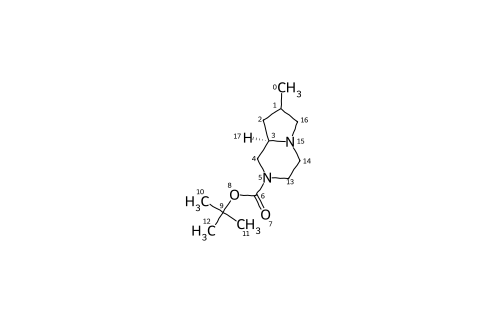 CC1C[C@@H]2CN(C(=O)OC(C)(C)C)CCN2C1